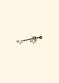 CCCCCCCCCCCC1(F)C=CC(C#Cc2ccccc2)=C(OC)C1F